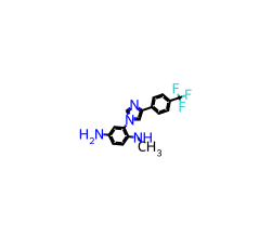 CNc1ccc(N)cc1-n1cnc(-c2ccc(C(F)(F)F)cc2)c1